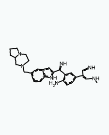 CN/C=C(\C=N)c1ccc(N)c(C(=N)c2cc3cc(CN4CCN5CCCC5C4)ccc3[nH]2)c1